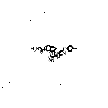 NCC(=O)N1CCc2ccc(-n3c(-c4nonc4N)nc4cnc(Oc5ccc(F)cc5)cc43)cc2C1